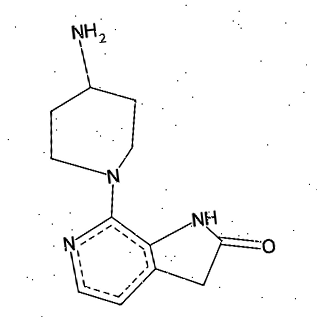 NC1CCN(c2nccc3c2NC(=O)C3)CC1